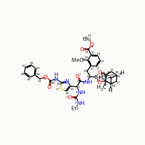 CCNC(=O)NC(C(=O)NC(Cc1cccc(C(=O)OC(C)(C)C)c1OC)B1OC2C[C@H]3C[C@@H](C3(C)C)[C@]2(C)O1)c1csc(NC(=O)OCc2ccccc2)n1